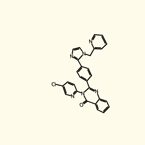 O=c1c2ccccc2nc(-c2ccc(-c3nccn3Cc3ccccn3)cc2)n1-c1ccc(Cl)cn1